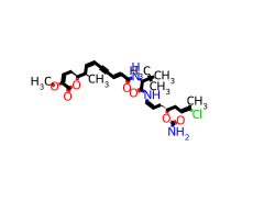 COC1=CC[C@@H]([C@@H](C)/C=C\C#C/C=C/C(=O)N[C@H](C(=O)N/C=C\C[C@H](C/C=C(\C)Cl)OC(N)=O)C(C)(C)C)OC1=O